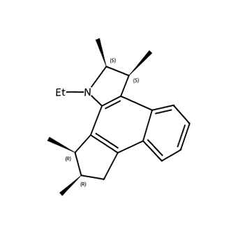 CCN1c2c3c(c4ccccc4c2[C@H](C)[C@@H]1C)C[C@@H](C)[C@H]3C